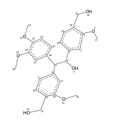 COc1cc(C(O)C(c2ccc(CO)c(OC)c2)c2ccc(OC)c(OC)c2)ccc1CO